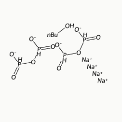 CCCCO.O=[PH]([O-])O[PH](=O)[O-].O=[PH]([O-])O[PH](=O)[O-].[Na+].[Na+].[Na+].[Na+]